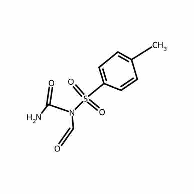 Cc1ccc(S(=O)(=O)N(C=O)C(N)=O)cc1